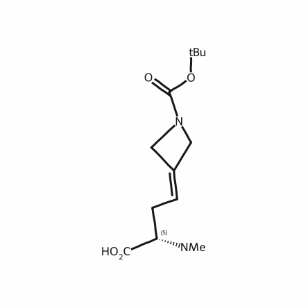 CN[C@@H](CC=C1CN(C(=O)OC(C)(C)C)C1)C(=O)O